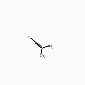 BS(C)=BCC